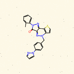 Cc1ccccc1-n1nc2c3sccc3n(Cc3ccc(-n4cccn4)cc3)nc-2c1=O